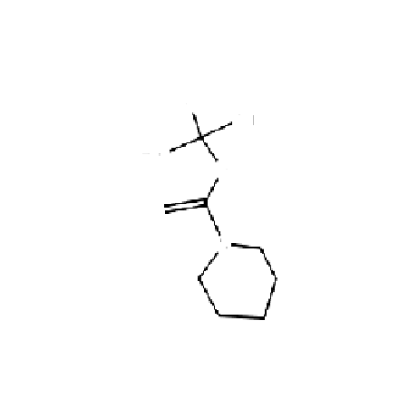 CC(C)(C)OC(=O)N1CC[CH]CC1